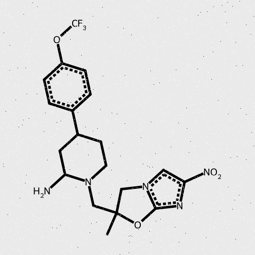 CC1(CN2CCC(c3ccc(OC(F)(F)F)cc3)CC2N)Cn2cc([N+](=O)[O-])nc2O1